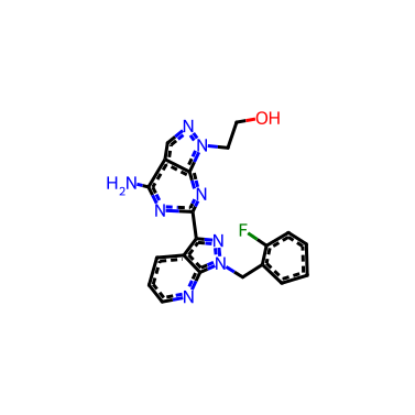 Nc1nc(-c2nn(Cc3ccccc3F)c3ncccc23)nc2c1cnn2CCO